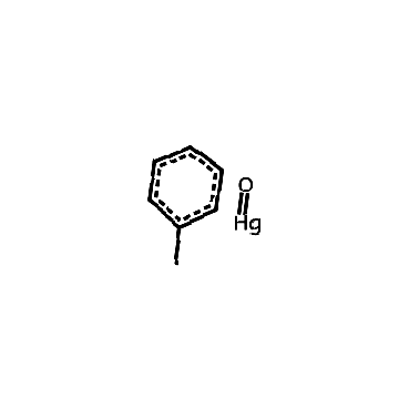 Cc1ccccc1.[O]=[Hg]